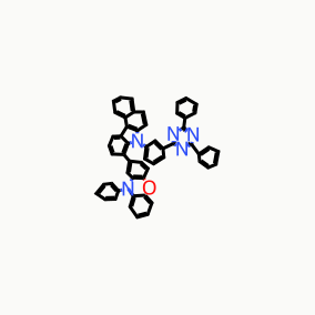 c1ccc(-c2nc(-c3ccccc3)nc(-c3cccc(-n4c5ccc6ccccc6c5c5cccc(-c6ccc7c(c6)N(c6ccccc6)c6ccccc6O7)c54)c3)n2)cc1